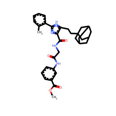 COC(=O)c1cccc(NC(=O)CNC(=O)c2nc(-c3ccccc3C)[nH]c2CCC23CC4CC(CC(C4)C2)C3)c1